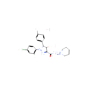 I.O=C(NCN1CCCCC1)C1=NN(c2ccc(Cl)cc2Cl)C(c2ccc(Cl)cc2)C1O